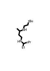 [CH2]C(CCNC(CC)CCC)NCCC(C)(C)C